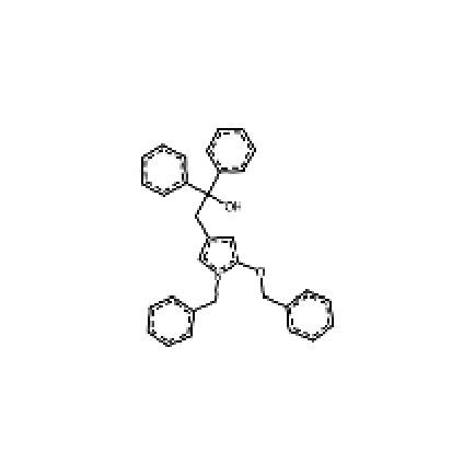 OC(Cc1cc(OCc2ccccc2)n(Cc2ccccc2)c1)(c1ccccc1)c1ccccc1